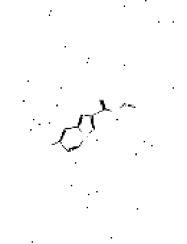 CCOC(=O)c1cc2cc(C)ccn2c1